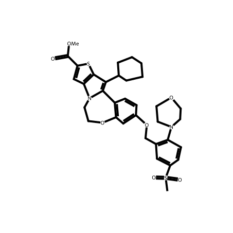 COC(=O)c1cc2c(s1)c(C1CCCCC1)c1n2CCOc2cc(OCc3cc(S(C)(=O)=O)ccc3N3CCOCC3)ccc2-1